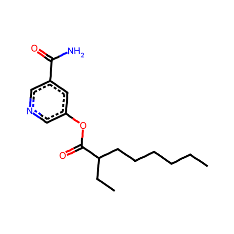 CCCCCCC(CC)C(=O)Oc1cncc(C(N)=O)c1